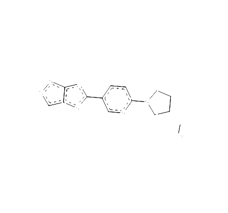 CSO[C@H]1CCN(c2ccc(-c3nc4cn[nH]c4s3)cn2)C1